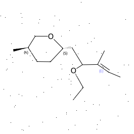 C/C=C(\C)C(C[C@@H]1CC[C@@H](C)CO1)OCC